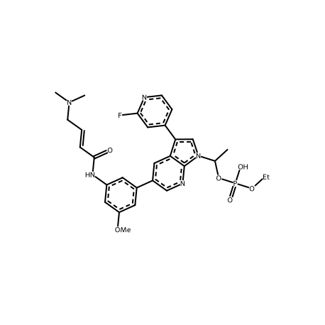 CCOP(=O)(O)OC(C)n1cc(-c2ccnc(F)c2)c2cc(-c3cc(NC(=O)C=CCN(C)C)cc(OC)c3)cnc21